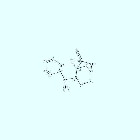 C[C@H](c1ccccc1)N1CCC2C[C@@H]1C(=O)O2